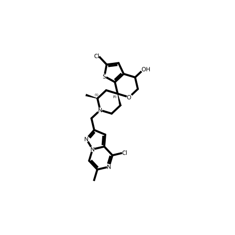 Cc1cn2nc(CN3CC[C@]4(C[C@@H]3C)OCC(O)c3cc(Cl)sc34)cc2c(Cl)n1